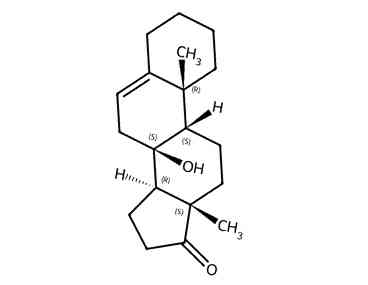 C[C@]12CCCCC1=CC[C@]1(O)[C@H]2CC[C@]2(C)C(=O)CC[C@@H]12